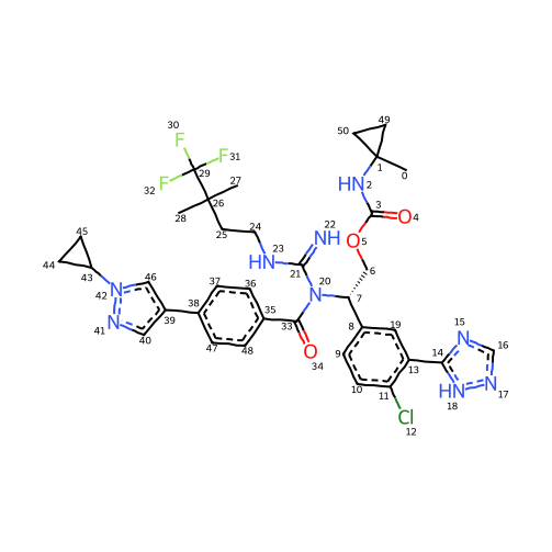 CC1(NC(=O)OC[C@H](c2ccc(Cl)c(-c3ncn[nH]3)c2)N(C(=N)NCCC(C)(C)C(F)(F)F)C(=O)c2ccc(-c3cnn(C4CC4)c3)cc2)CC1